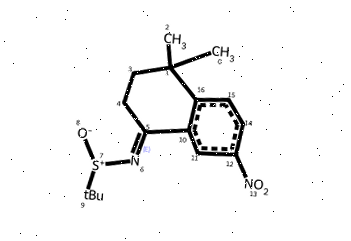 CC1(C)CC/C(=N\[S+]([O-])C(C)(C)C)c2cc([N+](=O)[O-])ccc21